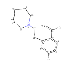 C=C(C)c1ccc(C)cc1CCN1CCCCCC1